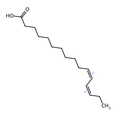 CC/C=C\C=C/CCCCCCCCCC(=O)O